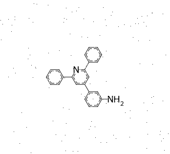 Nc1cccc(-c2cc(-c3ccccc3)nc(-c3ccccc3)c2)c1